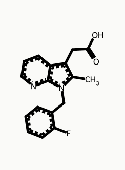 Cc1c(CC(=O)O)c2cccnc2n1Cc1ccccc1F